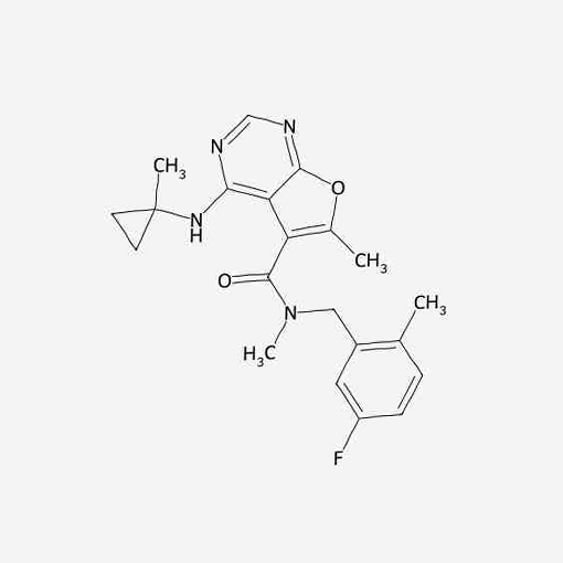 Cc1ccc(F)cc1CN(C)C(=O)c1c(C)oc2ncnc(NC3(C)CC3)c12